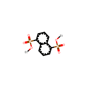 CCOS(=O)(=O)c1cccc2c(S(=O)(=O)OCC)cccc12